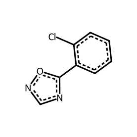 Clc1ccccc1-c1ncno1